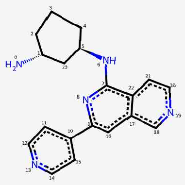 N[C@@H]1CCC[C@@H](Nc2nc(-c3ccncc3)cc3cnccc23)C1